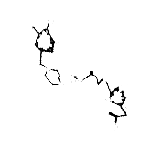 O=C(O)Cc1csc(SCC(=O)NC[C@H]2CN(Cc3ccc(Cl)c(Cl)c3)CCO2)n1